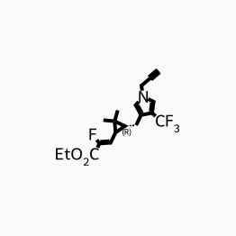 C#CCn1cc(C[C@@H]2C(C=C(F)C(=O)OCC)C2(C)C)c(C(F)(F)F)c1